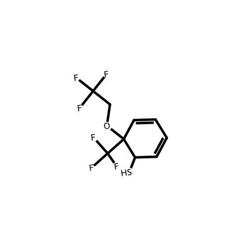 FC(F)(F)COC1(C(F)(F)F)C=CC=CC1S